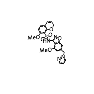 COc1ccc2c(c1S(=O)(=O)Nc1noc3cc(Cn4cccn4)cc(OC)c13)OCC=C2